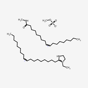 CCCCCCCC/C=C\CCCCCCCC(=O)NC.CCCCCCCC/C=C\CCCCCCCCC1=[N+](CC)CCN1.COS(=O)(=O)[O-]